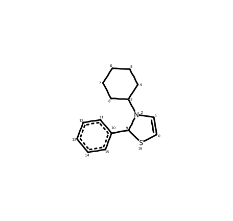 C1=CN(C2CCCCC2)C(c2ccccc2)S1